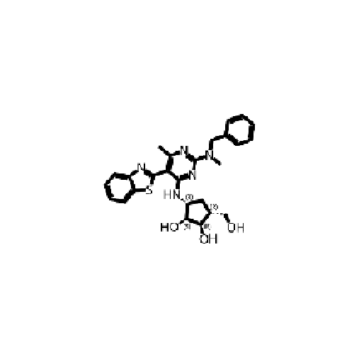 Cc1nc(N(C)Cc2ccccc2)nc(N[C@@H]2C[C@H](CO)[C@@H](O)[C@H]2O)c1-c1nc2ccccc2s1